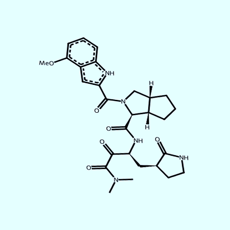 COc1cccc2[nH]c(C(=O)N3C[C@@H]4CCC[C@@H]4[C@H]3C(=O)N[C@@H](C[C@@H]3CCNC3=O)C(=O)C(=O)N(C)C)cc12